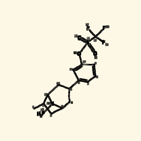 CC1CC2CC(c3cccc(OS(=O)(=O)C(F)(F)F)c3)CC1N2P